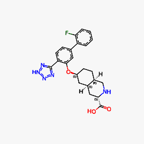 O=C(O)[C@@H]1C[C@H]2C[C@@H](Oc3cc(-c4ccccc4F)ccc3-c3nn[nH]n3)CC[C@H]2CN1